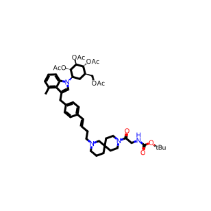 CC(=O)OC[C@H]1C[C@@H](n2cc(Cc3ccc(/C=C/CCN4CCCC5(CCN(C(=O)CNC(=O)OC(C)(C)C)CC5)C4)cc3)c3c(C)cccc32)[C@H](OC(C)=O)[C@@H](OC(C)=O)[C@@H]1OC(C)=O